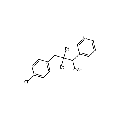 CCC(CC)(Cc1ccc(Cl)cc1)C(OC(C)=O)c1cccnc1